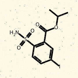 CC(C)OC(=O)c1cc(I)ccc1S(N)(=O)=O